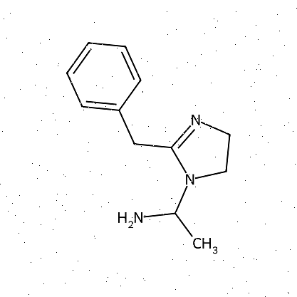 CC(N)N1CCN=C1Cc1ccccc1